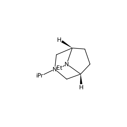 CCN1[C@@H]2CC[C@H]1CN(C(C)C)C2